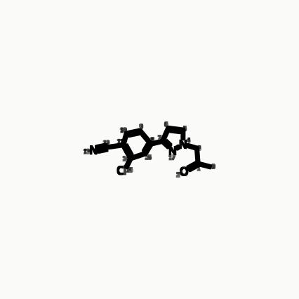 CC(=O)Cn1ccc(-c2ccc(C#N)c(Cl)c2)n1